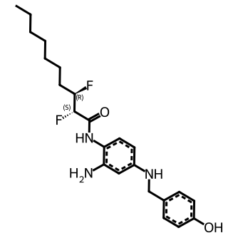 CCCCCCC[C@@H](F)[C@@H](F)C(=O)Nc1ccc(NCc2ccc(O)cc2)cc1N